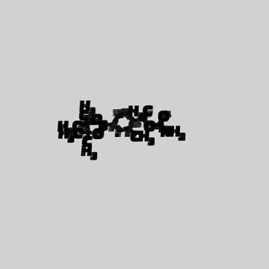 Cc1cc(B2OC(C)(C)C(C)(C)O2)ccc1C(C)OC(N)=O